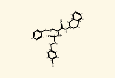 O=C(NC(CSCc1ccccc1)C(=O)NC1CCc2ccccc2C1)OCc1ccc(Cl)cc1